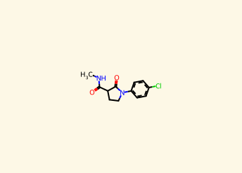 CNC(=O)C1CCN(c2ccc(Cl)cc2)C1=O